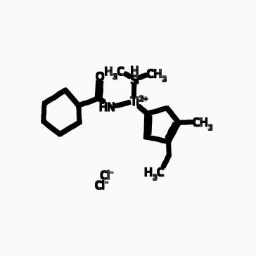 CCC1=C(C)C[C]([Ti+2]([NH]C(=O)C2CCCCC2)[SiH](C)C)=C1.[Cl-].[Cl-]